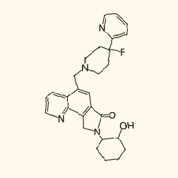 O=C1c2cc(CN3CCC(F)(c4ccccn4)CC3)c3cccnc3c2CN1C1CCCCC1O